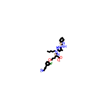 CCCCCN(c1cc(C)c(Nc2nc3ccccc3s2)nn1)c1nc(C(=O)OC)c(CCCOc2ccc(C#CCN(C)C)cc2F)s1